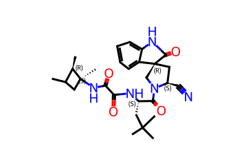 CC1C[C@](C)(NC(=O)C(=O)N[C@@H](CC(C)(C)C)C(=O)N2C[C@]3(C[C@H]2C#N)C(=O)Nc2ccccc23)[C@@H]1C